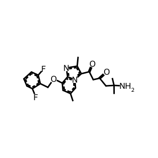 Cc1cc(OCc2c(F)cccc2F)c2nc(C)c(C(=O)CC(=O)CC(C)(C)N)n2c1